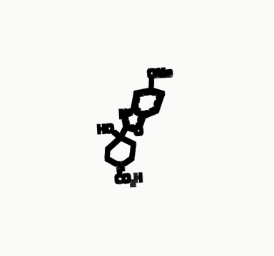 COc1ccc2oc(C3(O)CCN(C(=O)O)CC3)nc2c1